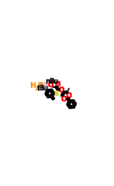 CCCCO[C@@H](COB=BP)[C@@H](OC1COC(c2ccccc2)O[C@H]1C)Sc1cc(C(C)(C)C)ccc1C